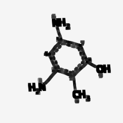 Cc1c(N)cc(N)cc1O